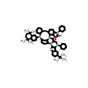 CC(C)(C)c1ccc2sc3c(c2c1)N(c1ccccc1)c1cccc2c1B3c1ccc3cc1N2c1c(ccc2c1c1ccccc1n2-c1ccccc1)Cc1ccccc1N3c1ccc2c(c1)C(C)(C)CCC2(C)C